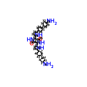 Nc1ccc(-c2ccc(-c3ccc(C4=C5C(=O)NC(c6ccc(-c7ccc(-c8ccc(N)cc8)cc7)[nH]6)=C5C(=O)N4)[nH]3)cc2)cc1